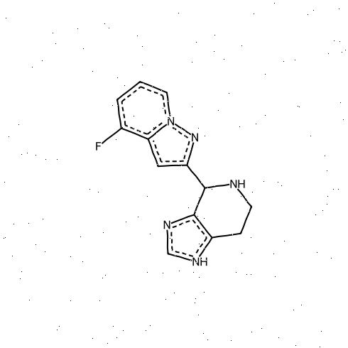 Fc1cccn2nc(C3NCCc4[nH]cnc43)cc12